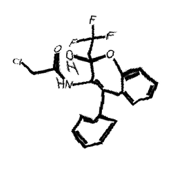 O=C(CCl)NC1=C(c2ccccc2)c2ccccc2OC1(O)C(F)(F)F